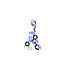 Fc1ccc(Nc2nc(-c3cccnc3)nc3ccc(NCCCN4CCOCC4)cc23)cc1Cl